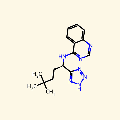 CC(C)(C)CC[C@@H](Nc1ncnc2ccccc12)c1nn[nH]n1